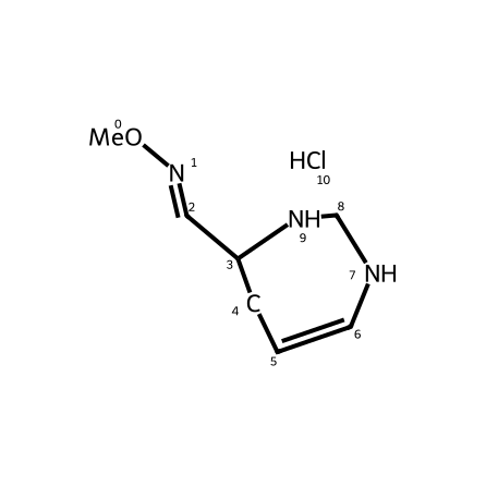 CON=CC1CC=CNCN1.Cl